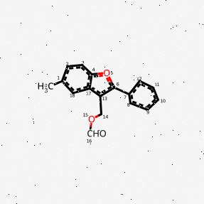 Cc1ccc2oc(-c3ccccc3)c(COC=O)c2c1